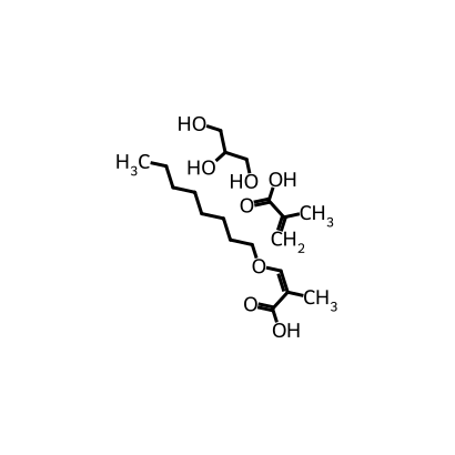 C=C(C)C(=O)O.CCCCCCCCOC=C(C)C(=O)O.OCC(O)CO